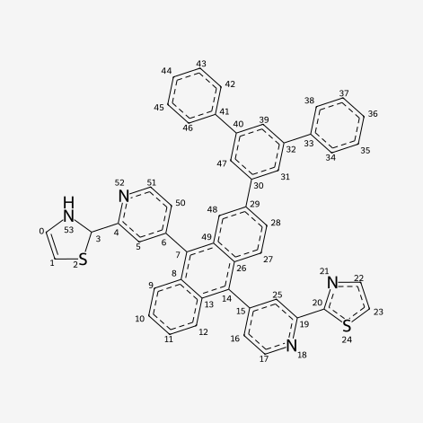 C1=CSC(c2cc(-c3c4ccccc4c(-c4ccnc(-c5nccs5)c4)c4ccc(-c5cc(-c6ccccc6)cc(-c6ccccc6)c5)cc34)ccn2)N1